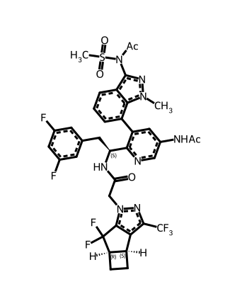 CC(=O)Nc1cnc([C@H](Cc2cc(F)cc(F)c2)NC(=O)Cn2nc(C(F)(F)F)c3c2C(F)(F)[C@@H]2CC[C@H]32)c(-c2cccc3c(N(C(C)=O)S(C)(=O)=O)nn(C)c23)c1